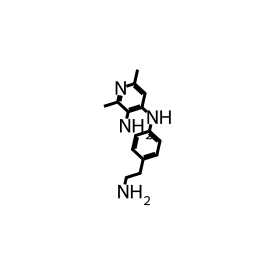 Cc1cc(Nc2ccc(CCN)cc2)c(N)c(C)n1